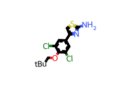 CC(C)(C)COc1c(Cl)cc(-c2csc(N)n2)cc1Cl